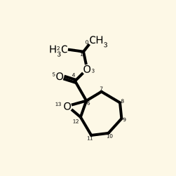 CC(C)OC(=O)C12CCCCCC1O2